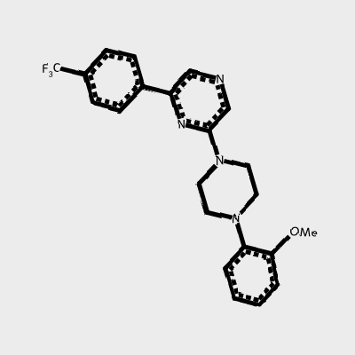 COc1ccccc1N1CCN(c2cncc(-c3ccc(C(F)(F)F)cc3)n2)CC1